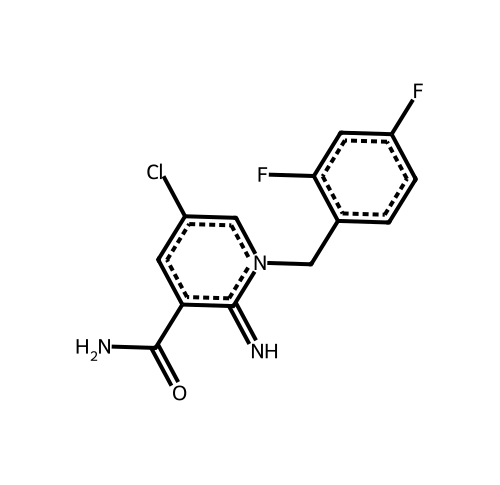 N=c1c(C(N)=O)cc(Cl)cn1Cc1ccc(F)cc1F